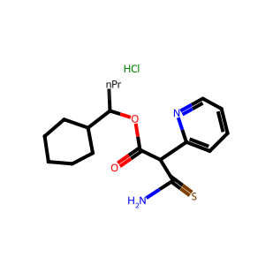 CCCC(OC(=O)C(C(N)=S)c1ccccn1)C1CCCCC1.Cl